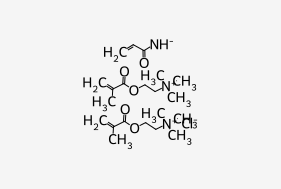 C=C(C)C(=O)OCC[N+](C)(C)C.C=C(C)C(=O)OCC[N+](C)(C)C.C=CC([NH-])=O.[Cl-]